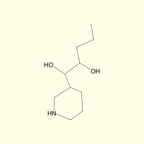 CCCC(O)C(O)C1CCCNC1